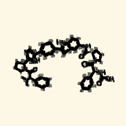 CN(C)C(C(=O)N1CCCC1c1ncc(-c2ccc(-c3cc4cc(NC(=O)[C@@H]5CCCN5C(=O)[C@H](NC(=O)O)c5ccccc5)ccc4[nH]3)cc2)[nH]1)c1ccccc1